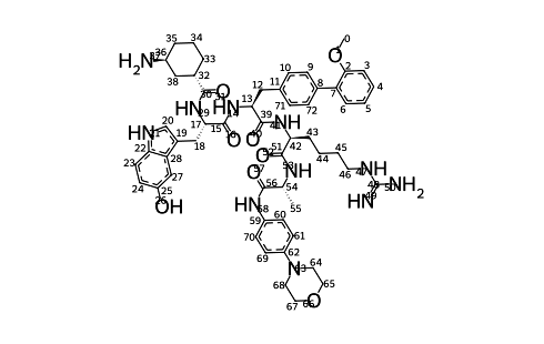 COc1ccccc1-c1ccc(C[C@H](NC(=O)[C@H](Cc2c[nH]c3ccc(O)cc23)NC(=O)[C@H]2CCC[C@H](N)C2)C(=O)N[C@@H](CCCCNC(=N)N)C(=O)N[C@H](C)C(=O)Nc2ccc(N3CCOCC3)cc2)cc1